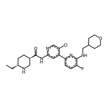 CC[C@H]1CC[C@@H](C(=O)Nc2cc(-c3ccc(F)c(NCC4CCOCC4)n3)c(Cl)cn2)CN1